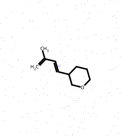 C=C(C)/C=C/C1CCCOC1